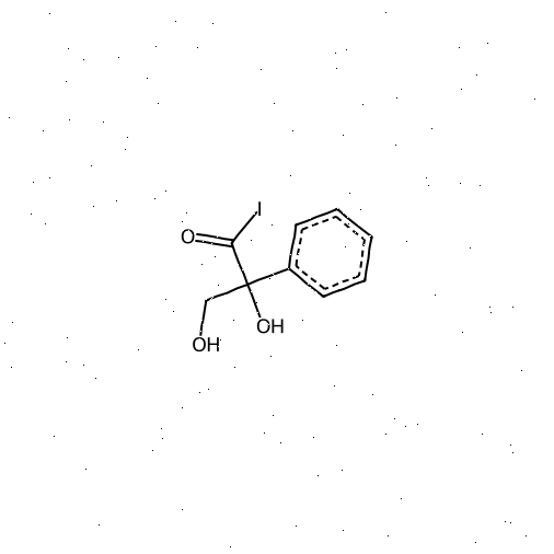 O=C(I)C(O)(CO)c1ccccc1